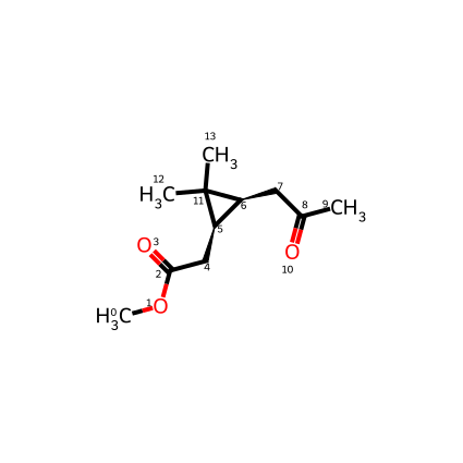 COC(=O)C[C@@H]1[C@H](CC(C)=O)C1(C)C